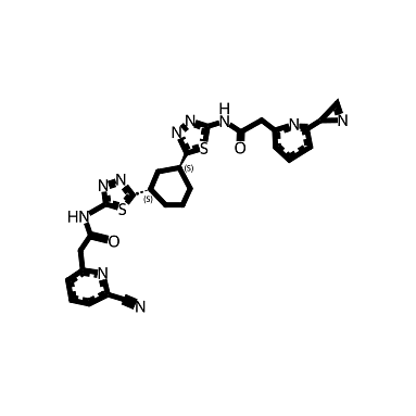 N#Cc1cccc(CC(=O)Nc2nnc([C@H]3CCC[C@H](c4nnc(NC(=O)Cc5cccc(C6C=N6)n5)s4)C3)s2)n1